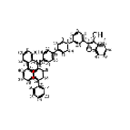 Cc1c(-c2cccc(-c3ccc(-c4ccc(N(c5ccc(-c6ccccc6)cc5)c5ccccc5-c5ccccc5)cc4)cc3)c2)oc2ccccc12